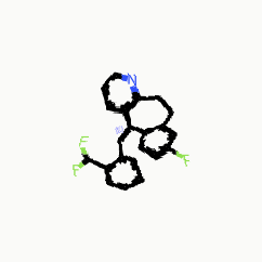 Fc1ccc2c(c1)CCc1ncccc1/C2=C/c1ccccc1C(F)F